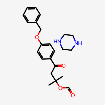 C1CNCCN1.CC(C)(CC(=O)c1ccc(OCc2ccccc2)cc1)OC=O